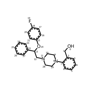 OCc1ccccc1N1CCN(CC(Oc2ccc(F)cc2)c2ccccc2)CC1